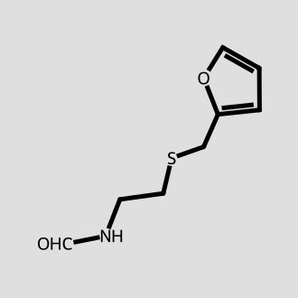 O=CNCCSCc1ccco1